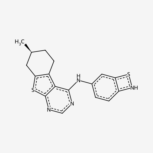 C[C@H]1CCc2c(sc3ncnc(Nc4ccc5[nH]sc5c4)c23)C1